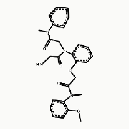 COc1ccccc1N(C)C(=O)COc1ccccc1N(CC(=O)N(C)c1ccccc1)C(=O)CN